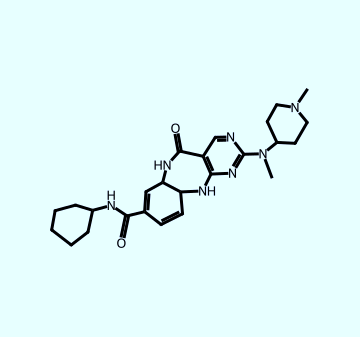 CN1CCC(N(C)c2ncc3c(n2)NC2C=CC(C(=O)NC4CCCCC4)=CC2NC3=O)CC1